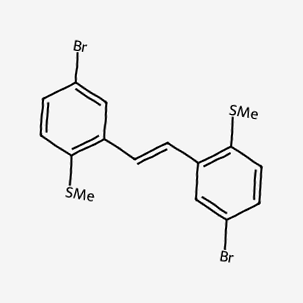 CSc1ccc(Br)cc1/C=C/c1cc(Br)ccc1SC